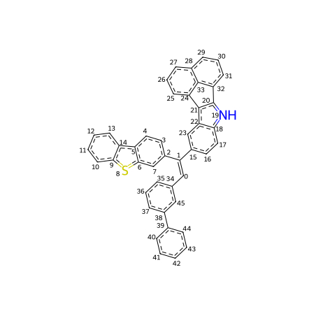 C(=C(/c1ccc2c(c1)sc1ccccc12)c1ccc2[nH]c3c(c2c1)-c1cccc2cccc-3c12)/c1cccc(-c2ccccc2)c1